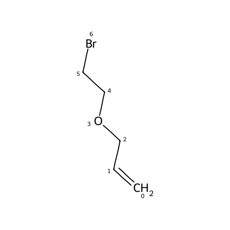 C=CCOCCBr